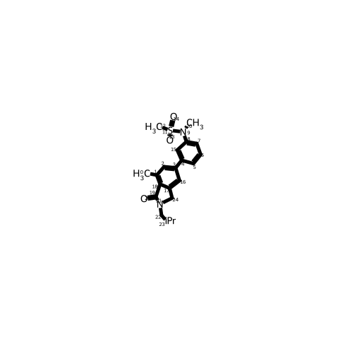 Cc1cc(-c2cccc(N(C)S(C)(=O)=O)c2)cc2c1C(=O)N(CC(C)C)C2